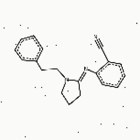 N#Cc1ccccc1N=C1CCCN1CCc1ccccc1